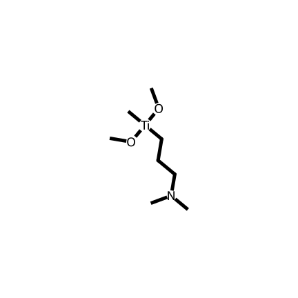 C[O][Ti]([CH3])([CH2]CCN(C)C)[O]C